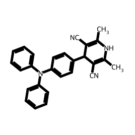 CC1=C(C#N)C(c2ccc(N(c3ccccc3)c3ccccc3)cc2)C(C#N)=C(C)N1